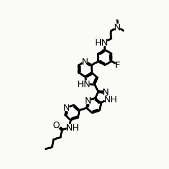 CCCCC(=O)Nc1cncc(-c2ccc3[nH]nc(-c4cc5c(-c6cc(F)cc(NCCN(C)C)c6)nccc5[nH]4)c3n2)c1